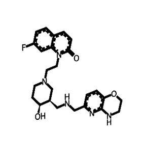 O=c1ccc2ccc(F)cc2n1CCN1CC[C@H](O)[C@H](CNCc2ccc3c(n2)NCCO3)C1